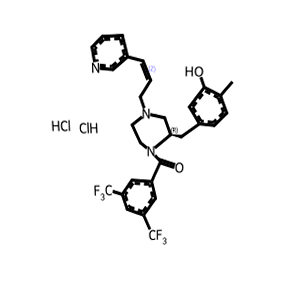 Cc1ccc(C[C@@H]2CN(C/C=C\c3cccnc3)CCN2C(=O)c2cc(C(F)(F)F)cc(C(F)(F)F)c2)cc1O.Cl.Cl